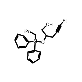 CCC#CCC(CO)O[Si](CC(C)C)(c1ccccc1)c1ccccc1